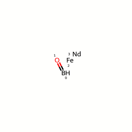 B=O.[Fe].[Nd]